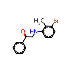 Cc1c(Br)cccc1NCC(=O)c1ccccc1